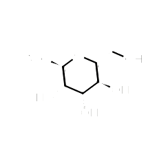 CC(=O)O[C@H]1O[C@H](CO)[C@@H](O)[C@H](O)[C@@H]1O